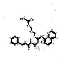 CCCC(=O)OCOCS/C(=N/c1cccc2cccnc12)NC(NC(=O)/C=C/c1ccccc1)C(Cl)(Cl)Cl